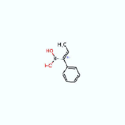 C/C=C(\B(O)O)c1ccccc1